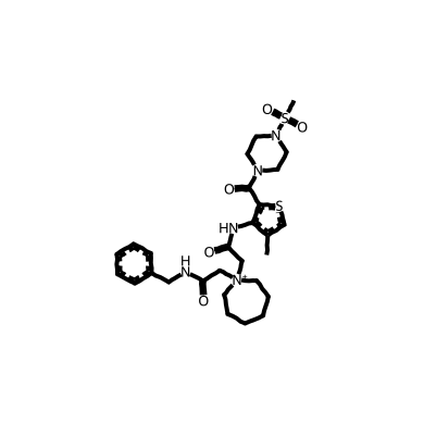 Cc1csc(C(=O)N2CCN(S(C)(=O)=O)CC2)c1NC(=O)C[N+]1(CC(=O)NCc2ccccc2)CCCCCC1